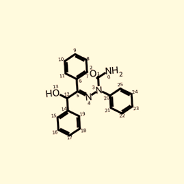 NC(=O)N(/N=C(\c1ccccc1)C(O)c1ccccc1)c1ccccc1